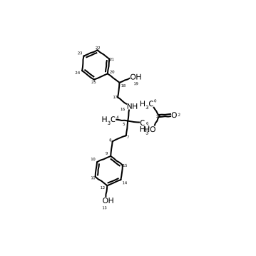 CC(=O)O.CC(C)(CCc1ccc(O)cc1)NCC(O)c1ccccc1